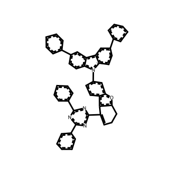 C1=C(c2nc(-c3ccccc3)nc(-c3ccccc3)n2)c2c(oc3cc(-n4c5ccc(-c6ccccc6)cc5c5cc(-c6ccccc6)ccc54)ccc23)CC1